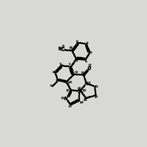 Cc1ccc(-c2ccccc2C#N)c(C(=O)N2CCCC2)c1-c1nccs1